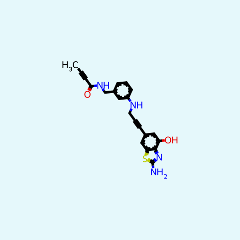 CC#CC(=O)NCc1cccc(NCC#Cc2cc(O)c3nc(N)sc3c2)c1